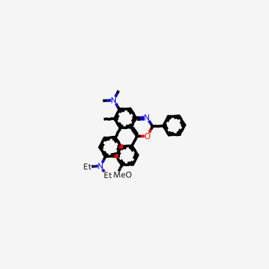 CCN(CC)c1ccc(-c2c(C)c(N(C)C)cc3c2=C(c2ccc(OC)cc2)OC(c2ccccc2)N=3)cc1